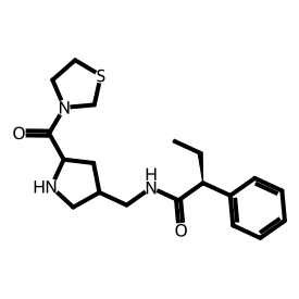 CC[C@H](C(=O)NCC1CNC(C(=O)N2CCSC2)C1)c1ccccc1